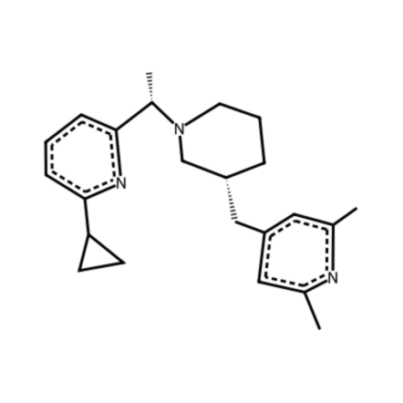 Cc1cc(C[C@H]2CCCN([C@@H](C)c3cccc(C4CC4)n3)C2)cc(C)n1